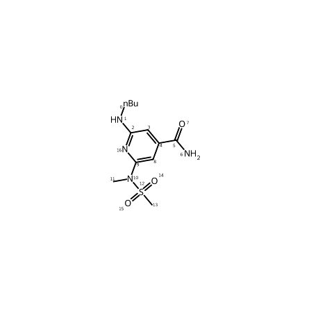 CCCCNc1cc(C(N)=O)cc(N(C)S(C)(=O)=O)n1